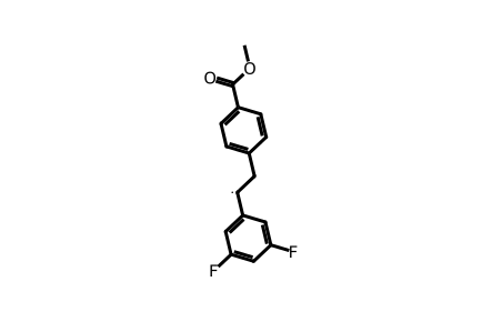 COC(=O)c1ccc(C[CH]c2cc(F)cc(F)c2)cc1